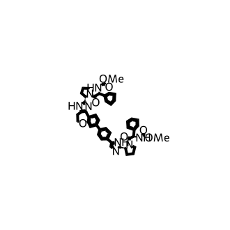 COC(=O)N[C@@H](C(=O)N1CCC[C@H]1c1ncc(-c2ccc(-c3ccc4c(c3)OCCc3[nH]c([C@@H]5CCCN5C(=O)[C@H](NC(=O)OC)c5ccccc5)nc3-4)cc2)[nH]1)c1ccccc1